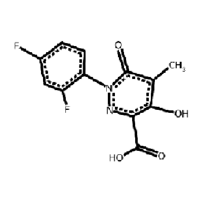 Cc1c(O)c(C(=O)O)nn(-c2ccc(F)cc2F)c1=O